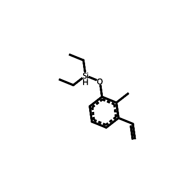 C=Cc1cccc(O[SiH](CC)CC)c1C